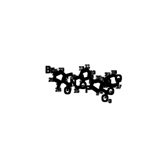 COC(=O)c1cc(F)c(-c2cccc3c2OCN(C(=O)c2c(C)cc(Br)cc2C)C3)cc1N1C2CCC1COC2